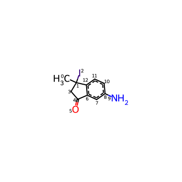 CC1(I)CC(=O)c2cc(N)ccc21